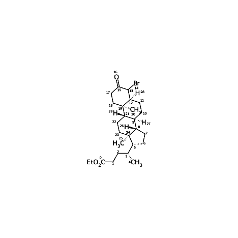 CCOC(=O)CC[C@@H](C)[C@H]1CC[C@H]2[C@@H]3CC[C@@H]4C(Br)C(=O)CC[C@]4(C)[C@H]3CC[C@]12C